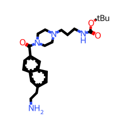 CC(C)(C)OC(=O)NCCCN1CCN(C(=O)c2ccc3cc(CCN)ccc3c2)CC1